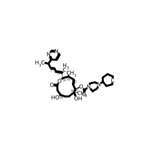 C/C(=C\C=C\C(C)c1ccncn1)[C@H]1OC(=O)C[C@@H](O)CC[C@](C)(O)[C@H](OC(=O)N2CCN(C3CCCCCC3)CC2)/C=C/[C@@H]1C